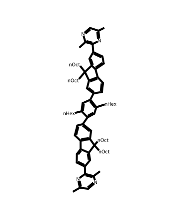 CCCCCCCCC1(CCCCCCCC)c2cc(-c3cc(CCCCCC)c(-c4ccc5c(c4)C(CCCCCCCC)(CCCCCCCC)c4cc(-c6nc(C)cnc6C)ccc4-5)cc3CCCCCC)ccc2-c2ccc(-c3nc(C)cnc3C)cc21